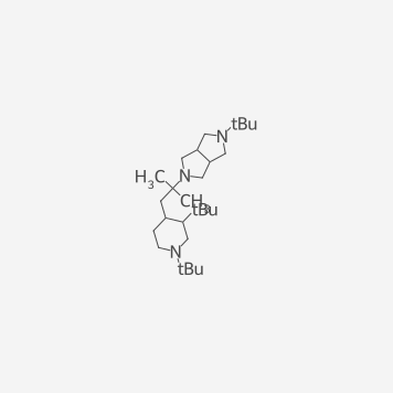 CC(C)(C)C1CN(C(C)(C)C)CCC1CC(C)(C)N1CC2CN(C(C)(C)C)CC2C1